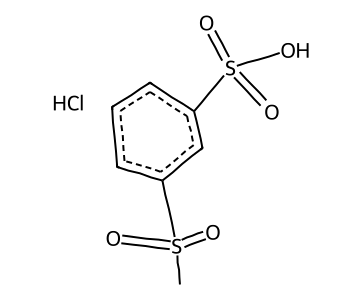 CS(=O)(=O)c1cccc(S(=O)(=O)O)c1.Cl